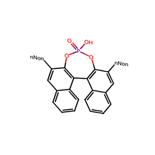 CCCCCCCCCc1cc2ccccc2c2c1OP(=O)(O)Oc1c(CCCCCCCCC)cc3ccccc3c1-2